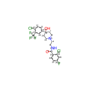 O=C(NCCN1CCC(O)(c2ccc(Cl)c(C(F)(F)F)c2)CC1)c1ccc(F)cc1Cl